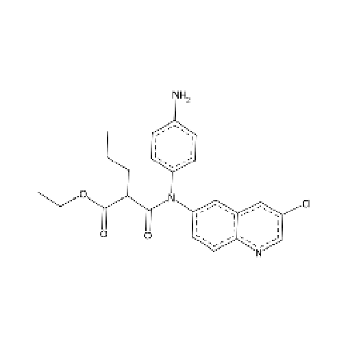 CCCC(C(=O)OCC)C(=O)N(c1ccc(N)cc1)c1ccc2ncc(Cl)cc2c1